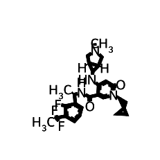 C[C@@H](NC(=O)c1cn([C@H]2CC23CC3)c(=O)cc1NC1[C@H]2CN(C)C[C@@H]12)c1cccc(C(C)(F)F)c1F